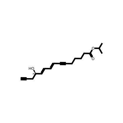 C#CC[C@@H](O)C=CC=CC#CCCCCC(=O)OC(C)C